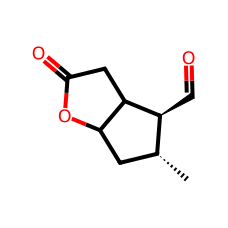 C[C@@H]1CC2OC(=O)CC2[C@H]1C=O